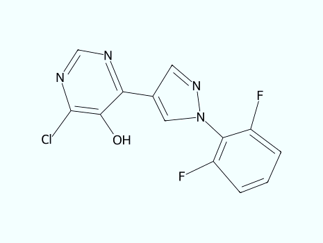 Oc1c(Cl)ncnc1-c1cnn(-c2c(F)cccc2F)c1